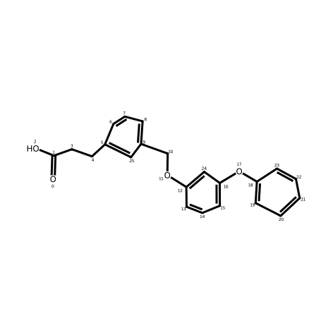 O=C(O)CCc1cccc(COc2cccc(Oc3ccccc3)c2)c1